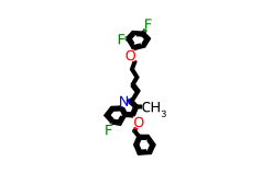 Cc1c(C=CCCCOc2ccc(F)cc2F)nc2ccc(F)cc2c1OCc1ccccc1